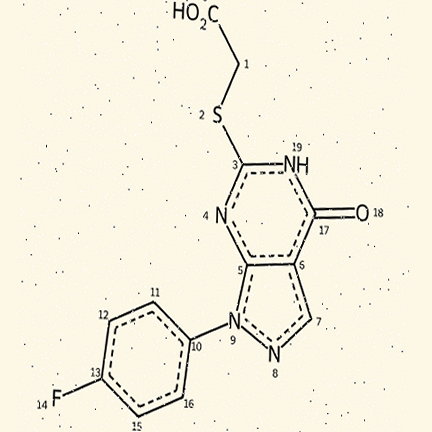 O=C(O)CSc1nc2c(cnn2-c2ccc(F)cc2)c(=O)[nH]1